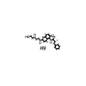 C[C@H](Cc1ccccc1)C(=O)Nc1c(Cl)ccc2nc(NCCNCCO)ccc12.Cl.Cl